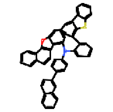 c1ccc(N(c2ccc(-c3ccc4ccccc4c3)cc2)c2cccc3oc4c5ccccc5ccc4c23)c(-c2cccc3c2sc2ccccc23)c1